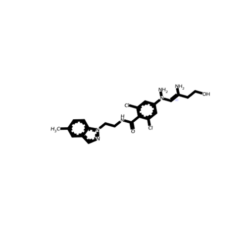 Cc1ccc2c(cnn2CCNC(=O)c2c(Cl)cc(N(N)/C=C(\N)CCO)cc2Cl)c1